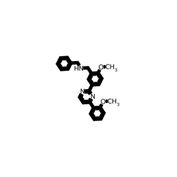 COc1ccc(-c2nccc(-c3ccccc3OC)n2)cc1CNCc1ccccc1